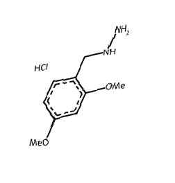 COc1ccc(CNN)c(OC)c1.Cl